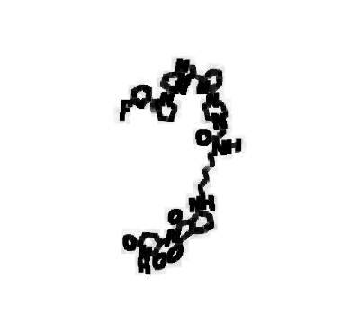 O=C(CN1CCN(c2cccc(-c3cnc4ccc(N5CCC[C@@H]5c5cccc(F)c5)nn34)n2)CC1)NCCCCCCNc1cccc2c1C(=O)N(C1CCC(=O)NC1=O)C2=O